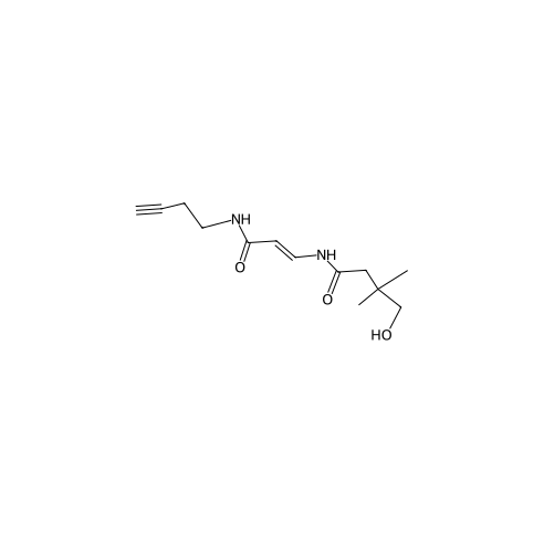 C#CCCNC(=O)/C=C/NC(=O)CC(C)(C)CO